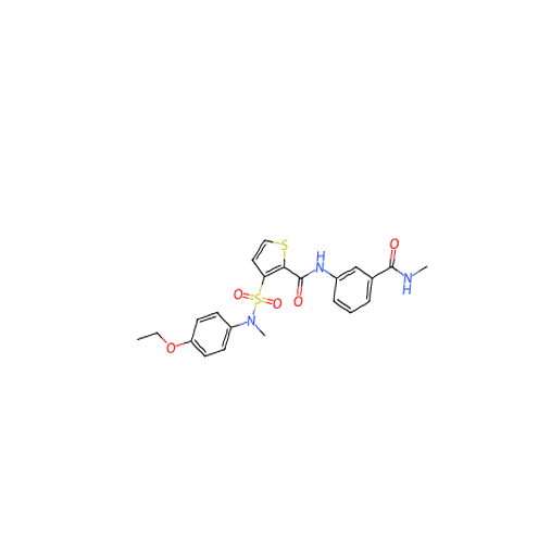 CCOc1ccc(N(C)S(=O)(=O)c2ccsc2C(=O)Nc2cccc(C(=O)NC)c2)cc1